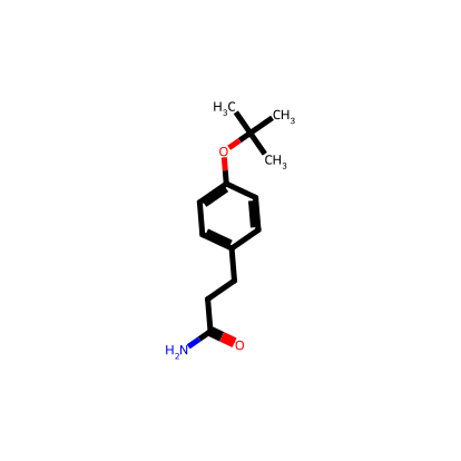 CC(C)(C)Oc1ccc(CCC(N)=O)cc1